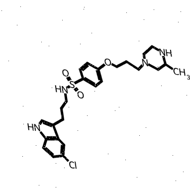 CC1CN(CCCOc2ccc(S(=O)(=O)NCCCc3c[nH]c4ccc(Cl)cc34)cc2)CCN1